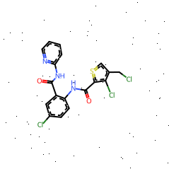 O=C(Nc1ccccn1)c1cc(Cl)ccc1NC(=O)c1scc(CCl)c1Cl